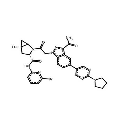 NC(=O)c1nn(CC(=O)N2C3C[C@@H]3C[C@H]2C(=O)Nc2cccc(Br)n2)c2ccc(-c3cnc(N4CCCC4)nc3)cc12